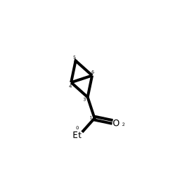 CCC(=O)C1C2CC21